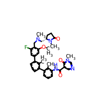 COc1cc(-c2cccc(-c3cccc(NC(=O)c4cncn(C)c4=O)c3C)c2C)cc(F)c1CN(C)C[C@@H]1CCC(=O)N1C